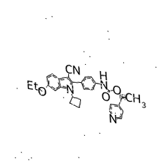 CCOc1ccc2c(C#N)c(-c3ccc(NC(=O)O[C@@H](C)c4ccncc4)cc3)n(C3CCC3)c2c1